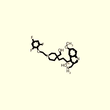 COc1ccc2ncc(CN)c([C@H](O)CCC3(CO)CCN(CCOc4c(F)cc(F)cc4F)CC3)c2c1